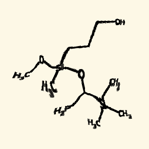 CO[Si](C)(CCCO)OC(P)[Si](C)(C)C